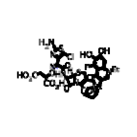 CCn1cc(C[N+]2(CC3=C(C(=O)[O-])N4C(=O)[C@@H](NC(=O)/C(=N\O[C@@H](CC(=O)O)C(=O)O)c5nc(N)sc5Cl)[C@H]4SC3)CCCC2)c(=O)c2c(F)c(O)c(O)cc21